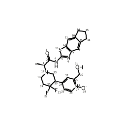 C[C@@H](C(=O)Nc1nc2cc3c(cc2s1)CCC3)N1CCC(F)(F)[C@H](c2cc[n+]([O-])c(CO)c2)C1